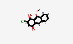 COc1c2c(cc3ccccc13)C(=O)C=C(Cl)C2=O